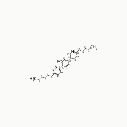 CCCCCCc1ccc(-c2ccc(-c3ccc(CCCCC)nc3)cc2F)cc1